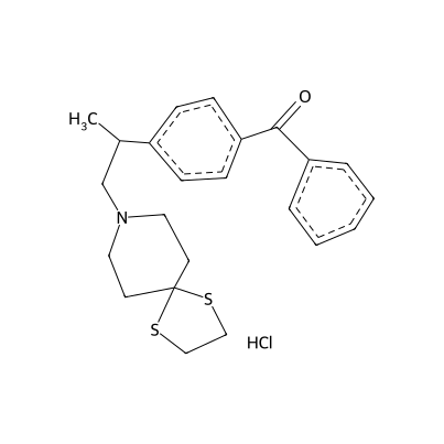 CC(CN1CCC2(CC1)SCCS2)c1ccc(C(=O)c2ccccc2)cc1.Cl